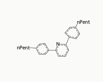 CCCCCc1ccc(-c2cccc(-c3ccc(CCCCC)cc3)n2)cc1